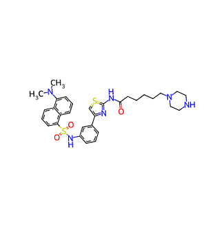 CN(C)c1cccc2c(S(=O)(=O)Nc3cccc(-c4csc(NC(=O)CCCCCN5CCNCC5)n4)c3)cccc12